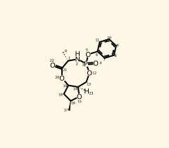 C[C@@H]1NP(=O)(Oc2ccccc2)OC[C@H]2O[C@@H](C)CC2OC1=O